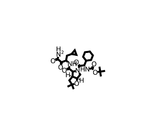 CC(C)(C)OC(=O)N[C@H](C(=O)N1C[C@H]2OC(C)(C)C[C@H]2C1C(=O)NC(CC1CC1)C(=O)C(N)=O)C1CCCCC1